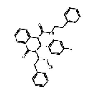 Cc1ccc([C@H]2[C@H](C(=O)NCCc3ccccc3)c3ccccc3C(=O)N2[C@H](CO)Cc2ccccc2)cc1